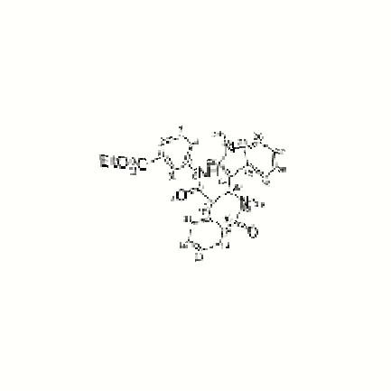 CCOC(=O)c1cccc(NC(=O)C2c3ccccc3C(=O)N(C)C2c2cn(C)c3ccccc23)c1